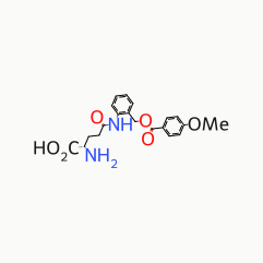 COc1ccc(C(=O)OCc2ccccc2NC(=O)CC[C@H](N)C(=O)O)cc1